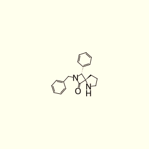 O=C1N(Cc2ccccc2)[C@H](c2ccccc2)[C@@]12CCCN2